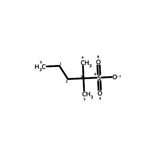 CCCC(C)(C)S([O])(=O)=O